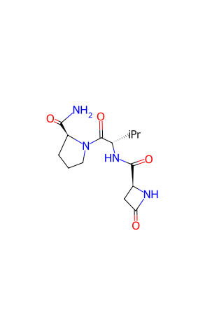 CC(C)[C@H](NC(=O)[C@@H]1CC(=O)N1)C(=O)N1CCC[C@H]1C(N)=O